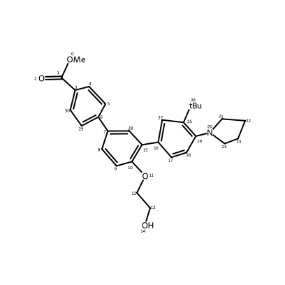 COC(=O)c1ccc(-c2ccc(OCCO)c(-c3ccc(N4CCCC4)c(C(C)(C)C)c3)c2)cc1